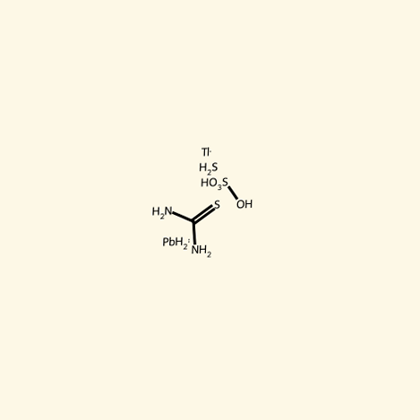 NC(N)=S.O=S(=O)(O)O.S.[PbH2].[Tl]